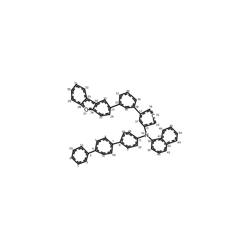 c1ccc(-c2ccc(-c3ccc(N(c4cccc(-c5cccc(-c6ccc7oc8ccccc8c7c6)c5)c4)c4cccc5ccccc45)cc3)cc2)cc1